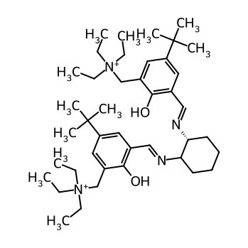 CC[N+](CC)(CC)Cc1cc(C(C)(C)C)cc(/C=N/C2CCCC[C@H]2/N=C/c2cc(C(C)(C)C)cc(C[N+](CC)(CC)CC)c2O)c1O